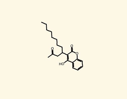 CCCCCCCCC(CC(C)=O)c1c(O)c2ccccc2oc1=O